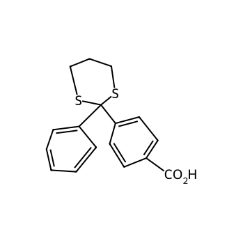 O=C(O)c1ccc(C2(c3ccccc3)SCCCS2)cc1